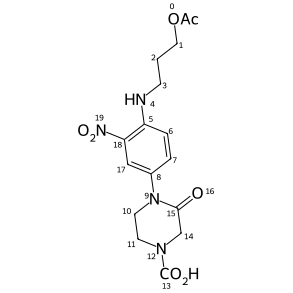 CC(=O)OCCCNc1ccc(N2CCN(C(=O)O)CC2=O)cc1[N+](=O)[O-]